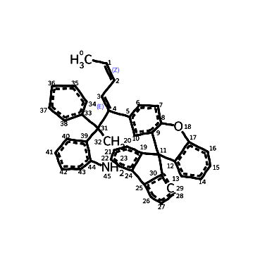 C/C=C\C=C(/c1ccc2c(c1)C1(c3ccccc3O2)c2ccccc2-c2ccccc21)C(C)(c1ccccc1)c1ccccc1N